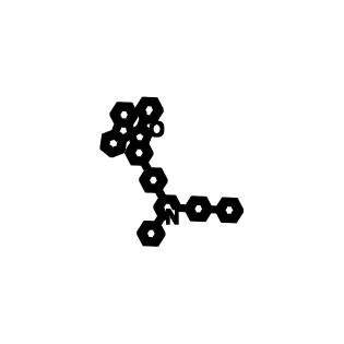 c1ccc(-c2ccc(-c3cc(-c4ccc(-c5ccc6c(c5)-c5oc7ccccc7c5C65c6ccccc6-c6ccccc65)cc4)cc(-c4ccccc4)n3)cc2)cc1